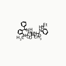 CCOc1ccccc1NC(=O)N[C@@H](C)C(=O)N[C@H]1N=C(c2ccccc2)c2ccccc2N(C)C1=O